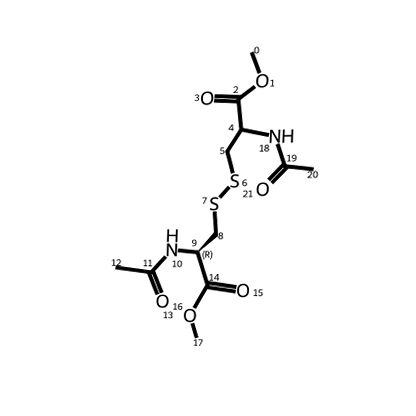 COC(=O)C(CSSC[C@H](NC(C)=O)C(=O)OC)NC(C)=O